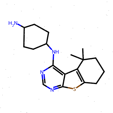 CC1(C)CCCc2sc3ncnc(NC4CCC(N)CC4)c3c21